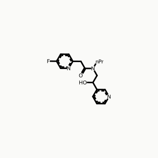 CCCN(CC(O)c1cccnc1)C(=O)Cc1ccc(F)cn1